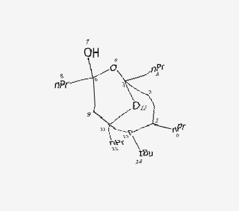 CCCC1CC2(CCC)OC(O)(CCC)CC(CCC)(O2)P1C(C)(C)C